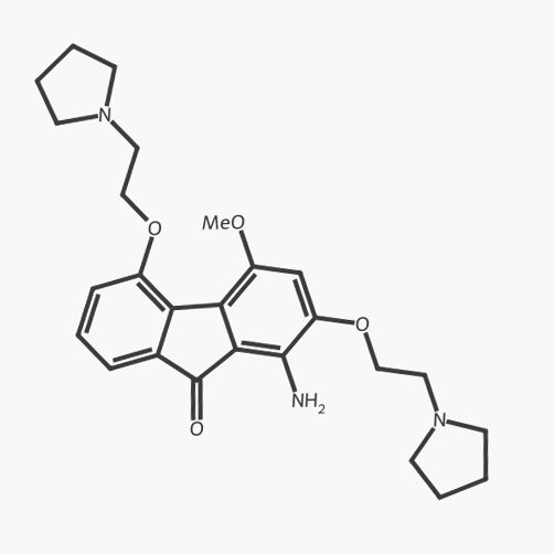 COc1cc(OCCN2CCCC2)c(N)c2c1-c1c(OCCN3CCCC3)cccc1C2=O